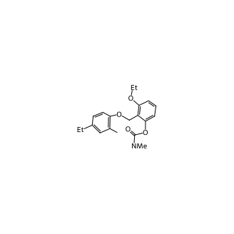 CCOc1cccc(OC(=O)NC)c1COc1ccc(CC)cc1C